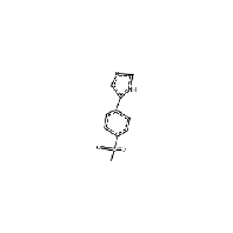 CS(=O)(=O)c1ccc(-c2cnc[nH]2)cc1